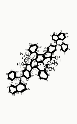 CC1(C)c2cc(N(c3ccccc3)c3cccc4ccccc34)ccc2-c2c1c1c3c(c4c(c5c3c2-c2ccccc2[Si]5(C)C)C(C)(C)c2cc(N(c3ccccc3)c3cccc5ccccc35)ccc2-4)-c2ccccc2[Si]1(C)C